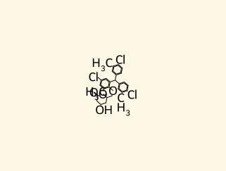 Cc1cc(C(c2ccc(Cl)c(C)c2)c2cc(Cl)cc(C)c2OCC2CC(O)CC(=O)O2)ccc1Cl